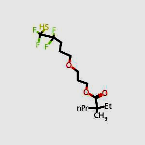 CCCC(C)(CC)C(=O)OCCCOCCCC(F)(F)C(F)(F)S